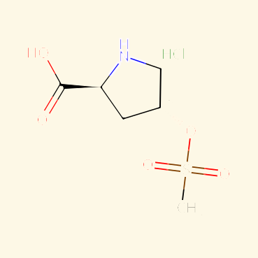 CS(=O)(=O)O[C@H]1CN[C@H](C(=O)O)C1.Cl